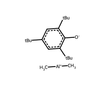 CC(C)(C)c1cc(C(C)(C)C)c([O-])c(C(C)(C)C)c1.[CH3][Al+][CH3]